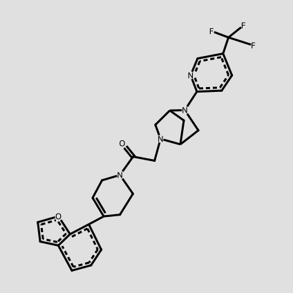 O=C(CN1CC2CC1CN2c1ccc(C(F)(F)F)cn1)N1CC=C(c2cccc3ccoc23)CC1